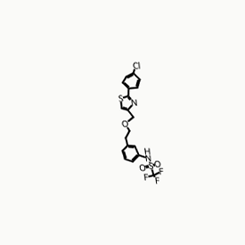 O=S(=O)(Nc1cccc(CCOCc2csc(-c3ccc(Cl)cc3)n2)c1)C(F)(F)F